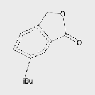 CCC(C)c1ccc2c(c1)C(=O)OC2